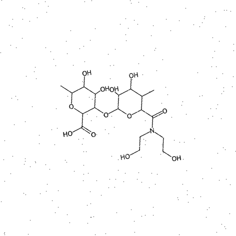 CC1OC(C(=O)O)C(OC2OC(C(=O)N(CCO)CCO)C(C)C(O)C2O)C(O)C1O